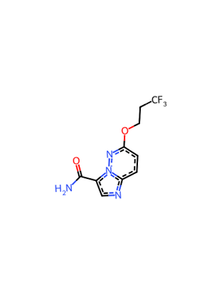 NC(=O)c1cnc2ccc(OCCC(F)(F)F)nn12